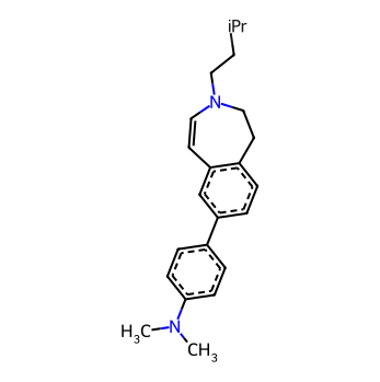 CC(C)CCN1C=Cc2cc(-c3ccc(N(C)C)cc3)ccc2CC1